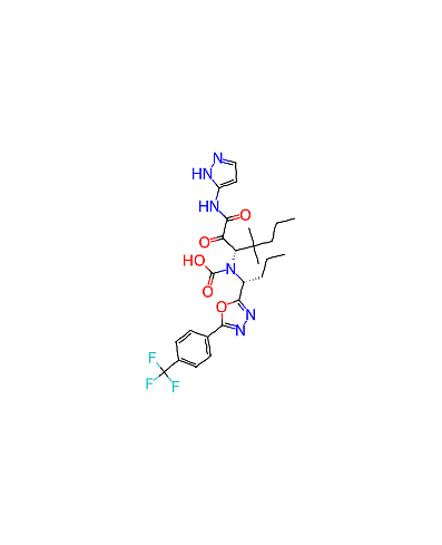 CCC[C@H](c1nnc(-c2ccc(C(F)(F)F)cc2)o1)N(C(=O)O)[C@H](C(=O)C(=O)Nc1ccn[nH]1)C(C)(C)CCC